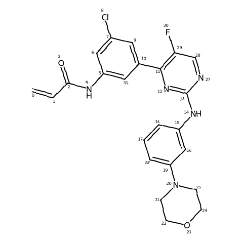 C=CC(=O)Nc1cc(Cl)cc(-c2nc(Nc3cccc(N4CCOCC4)c3)ncc2F)c1